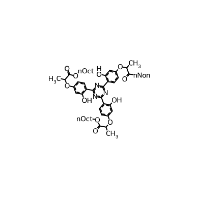 CCCCCCCCCC(=O)C(C)Oc1ccc(-c2nc(-c3ccc(OC(C)C(=O)OCCCCCCCC)cc3O)nc(-c3ccc(OC(C)C(=O)OCCCCCCCC)cc3O)n2)c(O)c1